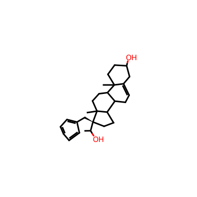 CC(O)[C@@]1(Cc2ccccc2)CCC2C3CC=C4CC(O)CCC4(C)C3CCC21C